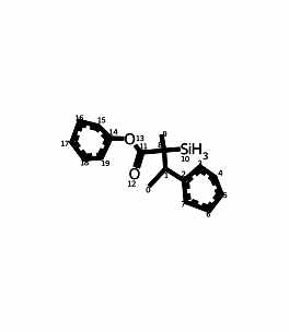 CC(c1ccccc1)C(C)([SiH3])C(=O)Oc1ccccc1